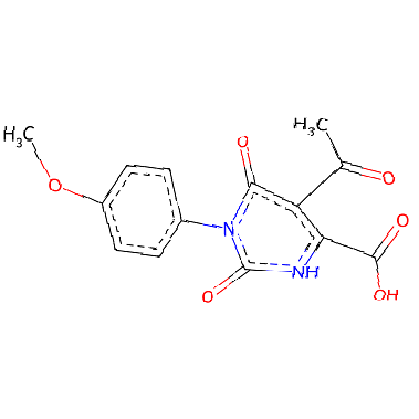 COc1ccc(-n2c(=O)[nH]c(C(=O)O)c(C(C)=O)c2=O)cc1